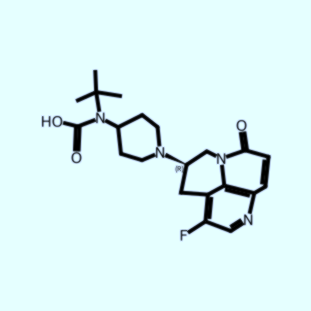 CC(C)(C)N(C(=O)O)C1CCN([C@@H]2Cc3c(F)cnc4ccc(=O)n(c34)C2)CC1